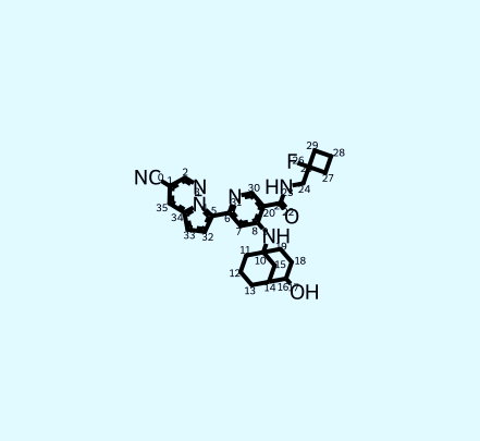 N#Cc1cnn2c(-c3cc(NC45CCCC(C4)C(O)CC5)c(C(=O)NCC4(F)CCC4)cn3)ccc2c1